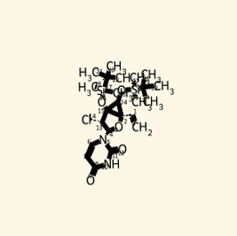 C=C[C@]12O[C@@H](n3ccc(=O)[nH]c3=O)[C@H](Cl)C1(O[Si](C)(C)C(C)(C)C)C2O[Si](C)(C)C(C)(C)C